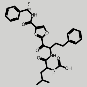 CC(C)CC(NC(=O)O)C(=O)NC(CCc1ccccc1)C(=O)c1nc(C(=O)N[C@@H](C)c2ccccc2)co1